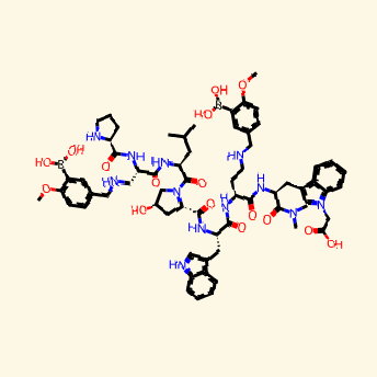 COc1ccc(CNCC[C@H](NC(=O)[C@H](Cc2c[nH]c3ccccc23)NC(=O)[C@@H]2C[C@@H](O)CN2C(=O)[C@H](CC(C)C)NC(=O)[C@H](CNCc2ccc(OC)c(B(O)O)c2)NC(=O)[C@@H]2CCCN2)C(=O)N[C@@H](Cc2cn(CC(=O)O)c3ccccc23)C(=O)N(C)C)cc1B(O)O